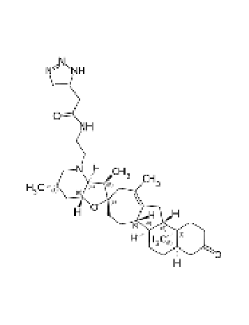 CC1=C2C[C@H]3[C@@H](CC[C@@H]4CC(=O)CC[C@@]43C)[C@@H]2CC[C@@]2(C1)O[C@@H]1C[C@H](C)CN(CCNC(=O)Cc3cnn[nH]3)[C@H]1[C@H]2C